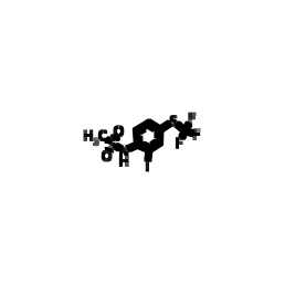 CS(=O)(=O)Nc1ccc(SC(F)(F)F)cc1I